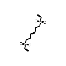 C=CS(=O)(=O)CCC=CCCS(=O)(=O)C=C